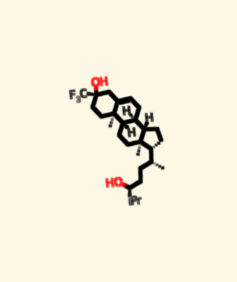 CC(C)[C@@H](O)CC[C@@H](C)[C@H]1CC[C@H]2[C@@H]3CC=C4C[C@](O)(C(F)(F)F)CC[C@]4(C)[C@H]3CC[C@]12C